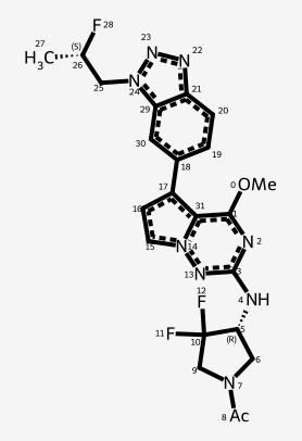 COc1nc(N[C@@H]2CN(C(C)=O)CC2(F)F)nn2ccc(-c3ccc4nnn(C[C@H](C)F)c4c3)c12